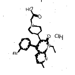 CCn1c(=O)c(C2CCN(CC(=O)O)CC2)c(-c2cccc(Br)c2)c2ccc(C)nc21.Cl